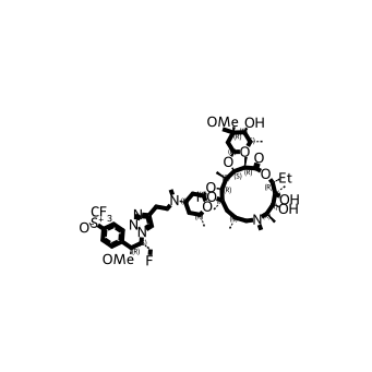 CC[C@H]1OC(=O)[C@H](C)[C@@H](O[C@H]2C[C@@](C)(OC)[C@@H](O)[C@H](C)O2)[C@H](C)[C@@H](O[C@H]2C[C@@H](N(C)CCc3cn([C@H](CF)[C@H](OC)c4ccc([S+]([O-])C(F)(F)F)cc4)nn3)C[C@@H](C)O2)[C@](C)(O)C[C@@H](C)CN(C)[C@H](C)[C@@H](O)[C@]1(C)O